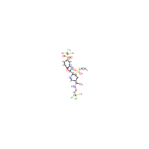 CCS(=O)(=O)c1cc(C(=O)NOCC(F)(F)F)cnc1-c1nc2cc(S(=O)(=O)C(F)(F)F)ccc2o1